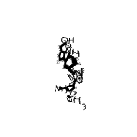 CCOc1cc(C#N)cc(-c2nc(-c3ccc4c(c3)C3CCC(CC(=O)O)C3N4)no2)c1